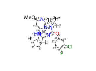 [2H]C([2H])([2H])n1nc(NC2[C@@H]3CC[C@H]2CN(c2ccnc(OC)c2)C3)nc1Oc1ccc(F)c(Cl)c1